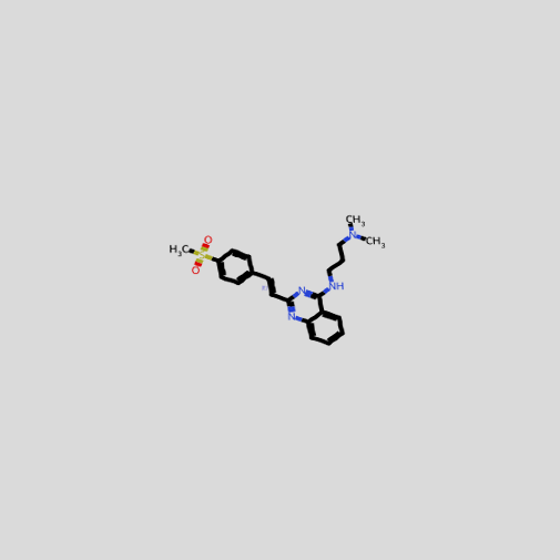 CN(C)CCCNc1nc(/C=C/c2ccc(S(C)(=O)=O)cc2)nc2ccccc12